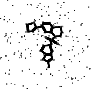 Cc1nc2cc(S(=O)(=O)N3CCOc4ccc(-c5cnco5)cc43)ccc2o1